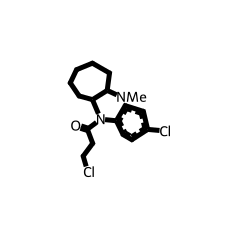 CNC1CCCCCC1N(C(=O)CCCl)c1ccc(Cl)cc1